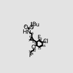 CC(C)(C)OC(=O)NCC1CC1c1c(OCCF)ccc(Cl)c1F